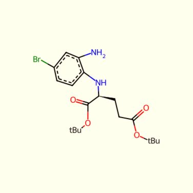 CC(C)(C)OC(=O)CC[C@H](Nc1ccc(Br)cc1N)C(=O)OC(C)(C)C